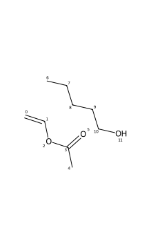 C=COC(C)=O.CCCCCO